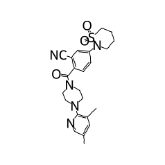 Cc1cnc(N2CCN(C(=O)c3ccc(N4CCCCS4(=O)=O)cc3C#N)CC2)c(C)c1